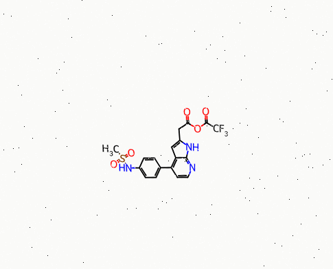 CS(=O)(=O)Nc1ccc(-c2ccnc3[nH]c(CC(=O)OC(=O)C(F)(F)F)cc23)cc1